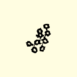 CC1(C)C2=C(c3ccccc31)N(c1cccc(-c3ccccc3)c1)c1cccc3c1B2c1ccc(N(c2ccccc2)c2ccccc2)cc1N3c1ccccc1